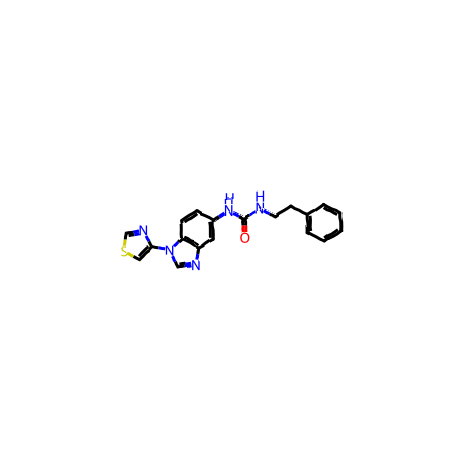 O=C(NCCc1ccccc1)Nc1ccc2c(c1)ncn2-c1cscn1